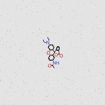 CCN(CC)c1ccc2c(c1)Oc1ccc(NC(C)=O)cc1C21OC(=O)c2ccccc21